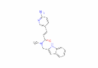 CN(Cc1cc2ccccc2[nH]1)C(=O)C=Cc1ccc(N)nc1